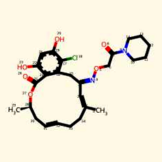 C/C1=C\C(=N\OCC(=O)N2CCCCC2)Cc2c(Cl)c(O)cc(O)c2C(=O)O[C@H](C)C/C=C/CC1